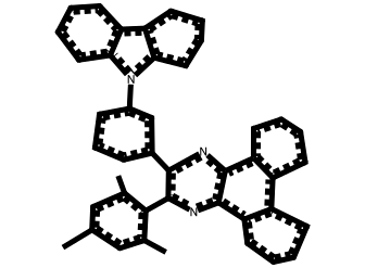 Cc1cc(C)c(-c2nc3c4ccccc4c4ccccc4c3nc2-c2cccc(-n3c4ccccc4c4ccccc43)c2)c(C)c1